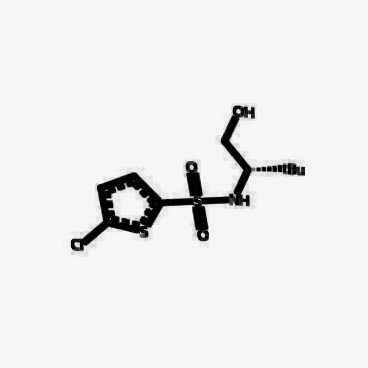 CC(C)(C)[C@@H](CO)NS(=O)(=O)c1ccc(Cl)s1